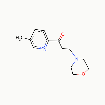 Cc1ccc(C(=O)CCN2CCOCC2)nc1